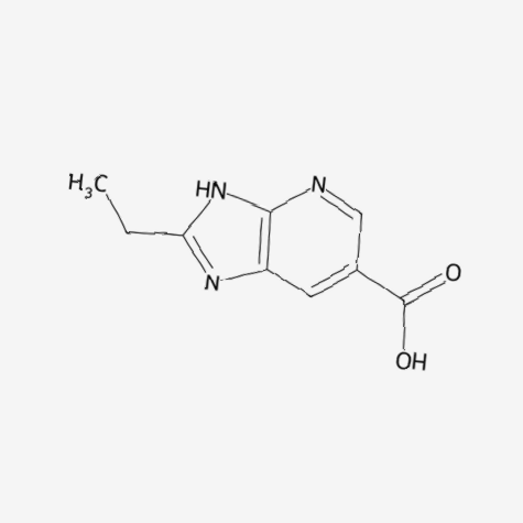 CCc1nc2cc(C(=O)O)cnc2[nH]1